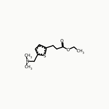 CCOC(=O)CCc1ccc(CN(C)C)s1